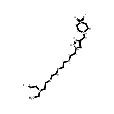 CCCN(CC)CCOCCOCCOCCn1cc(CN2CCS(=O)(=O)CC2)nn1